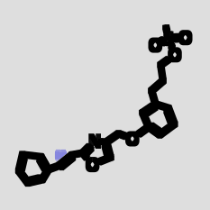 CS(=O)(=O)OCCCc1cccc(OCc2coc(/C=C/c3ccccc3)n2)c1